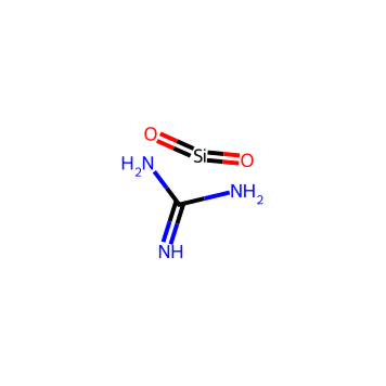 N=C(N)N.O=[Si]=O